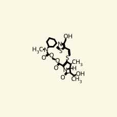 C[C@@H](O)[C@H]1C(=O)N2C(C(=O)OCOC(=O)N(C)C3CCCCC3)=C(S/C=C\c3scnc3CO)[C@H](C)[C@H]12